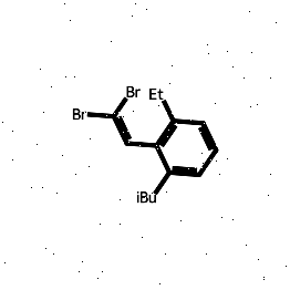 CCc1cccc(C(C)CC)c1C=C(Br)Br